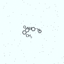 Cc1cccc2c(=O)[nH]c(-c3ccc(Cn4cccc4)cc3)cc12